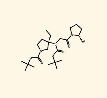 B[C@@H]1CCCN1C(=O)CN(C(=O)OC(C)(C)C)[C@@]1(CC)CCN(C(=O)OC(C)(C)C)C1